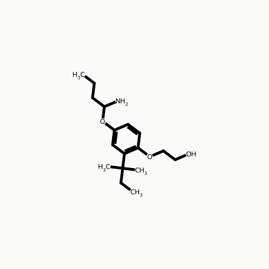 CCCC(N)Oc1ccc(OCCO)c(C(C)(C)CC)c1